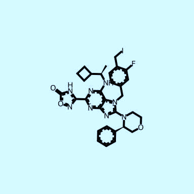 C[C@@H](Nc1nc(-c2noc(=O)[nH]2)nc2nc(N3CCOC[C@H]3c3ccccc3)n(Cc3ccc(CI)c(F)c3)c12)C1CCC1